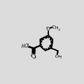 COc1cc(CO)cc(C(=O)O)c1